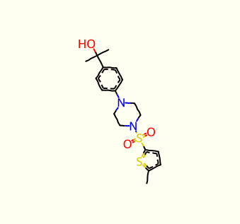 Cc1ccc(S(=O)(=O)N2CCN(c3ccc(C(C)(C)O)cc3)CC2)s1